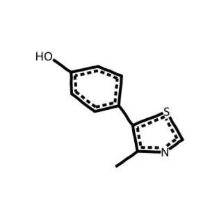 Cc1ncsc1-c1ccc(O)cc1